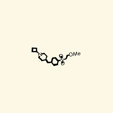 COCCS(=O)(=O)c1ccc(C=C2CCN(C3CCC3)CC2)cc1